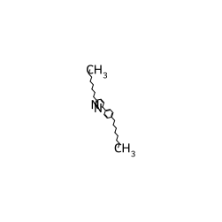 CCCCCCCCc1ccc(-c2ccc(CCCCCCCC)nn2)cc1